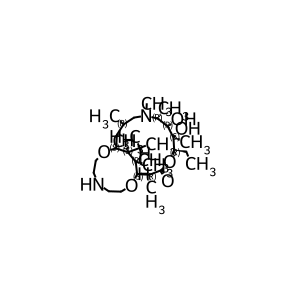 CC[C@H]1OC(=O)[C@H](C)[C@H]2OCCNCCO[C@@](C)(C[C@@H](C)CN(C)[C@H](C)[C@@H](O)[C@]1(C)O)[C@H](C(C)(C)C)[C@H]2C